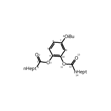 CCCCCCCC(=O)Oc1ccc(OCC(C)C)cc1OC(=O)CCCCCCC